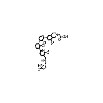 COc1cc(-c2nccc(-c3cccc(-c4ccc(CNCC5CCC(=O)N5)c(OC)n4)c3Cl)c2Cl)cc2c1CN(CC(=O)O)CC2